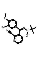 COc1ccc(C(=N[S+]([O-])C(C)(C)C)c2cccnc2C#N)cc1Br